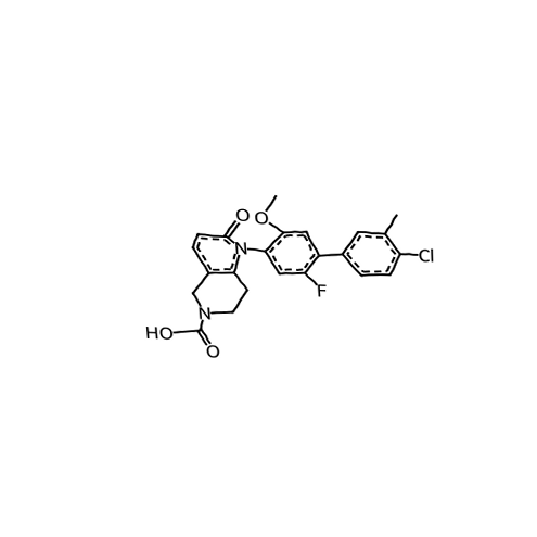 COc1cc(-c2ccc(Cl)c(C)c2)c(F)cc1-n1c2c(ccc1=O)CN(C(=O)O)CC2